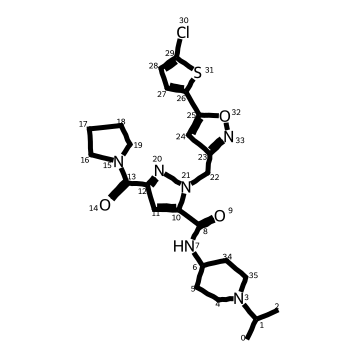 CC(C)N1CCC(NC(=O)c2cc(C(=O)N3CCCC3)nn2Cc2cc(-c3ccc(Cl)s3)on2)CC1